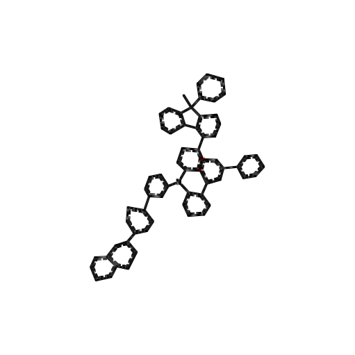 CC1(c2ccccc2)c2ccccc2-c2c(-c3ccc(N(c4cccc(-c5ccc(-c6ccc7ccccc7c6)cc5)c4)c4ccccc4-c4cccc(-c5ccccc5)c4)cc3)cccc21